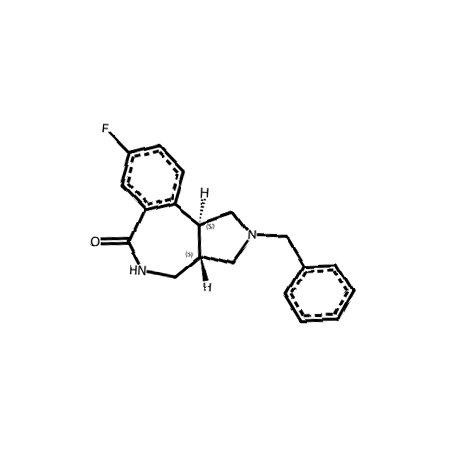 O=C1NC[C@H]2CN(Cc3ccccc3)C[C@@H]2c2ccc(F)cc21